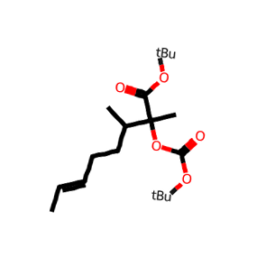 CC=CCCC(C)C(C)(OC(=O)OC(C)(C)C)C(=O)OC(C)(C)C